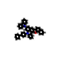 c1ccc(-c2ccc(N(c3cccc(-n4c5ccccc5c5ccccc54)c3)c3ccccc3-c3cccc4c3oc3c5ccccc5ccc43)cc2)cc1